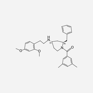 COc1ccc(CCN[C@H]2CCN(C(=O)c3cc(C)cc(C)c3)[C@H](Cc3ccccc3)C2)c(OC)c1